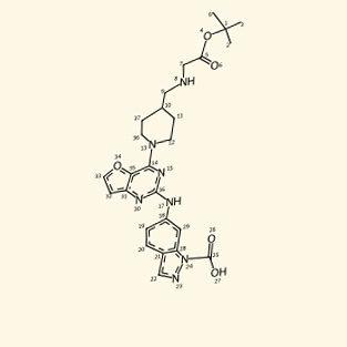 CC(C)(C)OC(=O)CNCC1CCN(c2nc(Nc3ccc4cnn(C(=O)O)c4c3)nc3ccoc23)CC1